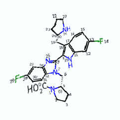 O=C(O)N1CCC[C@H]1Cn1c(-c2[nH]c3cc(F)ccc3c2C[C@@H]2CCCN2)nc2cc(F)ccc21